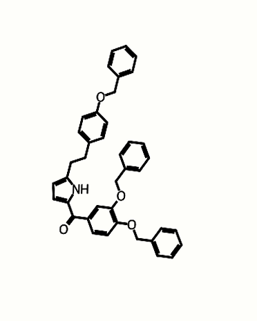 O=C(c1ccc(OCc2ccccc2)c(OCc2ccccc2)c1)c1ccc(CCc2ccc(OCc3ccccc3)cc2)[nH]1